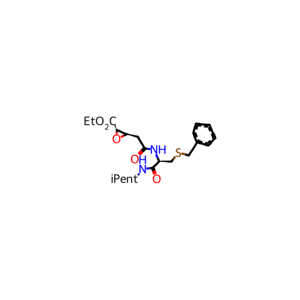 CCCC(C)NC(=O)[C@H](CSCc1ccccc1)NC(=O)C[C@H]1O[C@@H]1C(=O)OCC